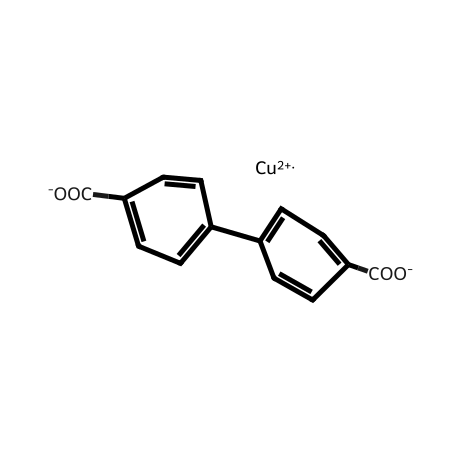 O=C([O-])c1ccc(-c2ccc(C(=O)[O-])cc2)cc1.[Cu+2]